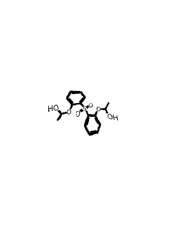 CC(O)Oc1ccccc1S(=O)(=O)c1ccccc1OC(C)O